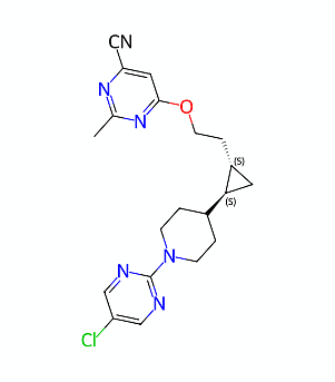 Cc1nc(C#N)cc(OCC[C@@H]2C[C@H]2C2CCN(c3ncc(Cl)cn3)CC2)n1